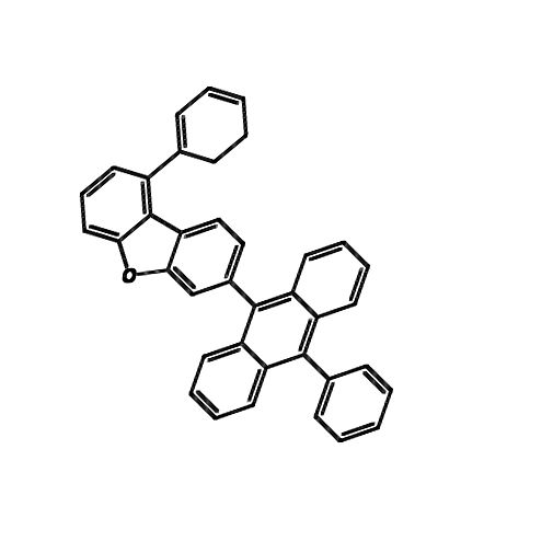 C1=CCCC(c2cccc3oc4cc(-c5c6ccccc6c(-c6ccccc6)c6ccccc56)ccc4c23)=C1